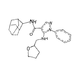 O=C(NC1C2CC3CC(C2)CC1C3)c1cnn(-c2ccccc2)c1NCC1CCCO1